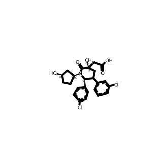 C[C@@]1(CC(=O)O)CC(c2cccc(Cl)c2)[C@@H](c2ccc(Cl)cc2)N([C@H]2CC[C@@H](O)C2)C1=O